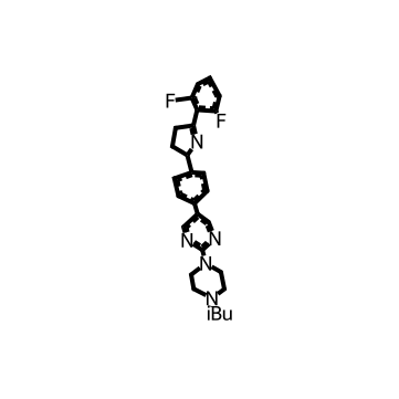 CCC(C)N1CCN(c2ncc(-c3ccc(C4CCC(c5c(F)cccc5F)=N4)cc3)cn2)CC1